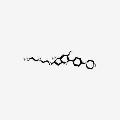 OCCOCCOc1cc2nc(-c3ccc(N4CCOCC4)cc3)c(Cl)cc2[nH]1